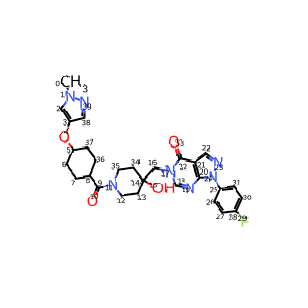 Cn1cc(OC2CCC(C(=O)N3CCC(O)(Cn4cnc5c(cnn5-c5ccc(F)cc5)c4=O)CC3)CC2)cn1